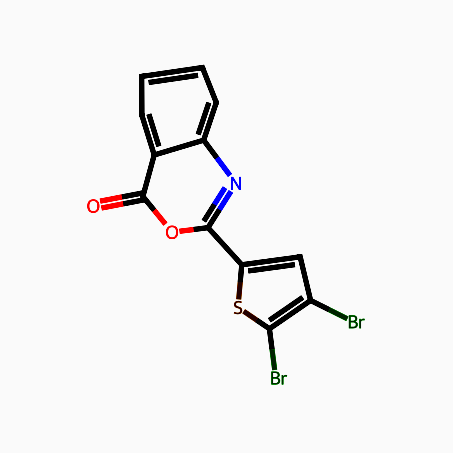 O=c1oc(-c2cc(Br)c(Br)s2)nc2ccccc12